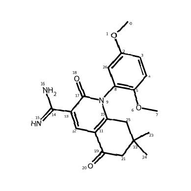 COc1ccc(OC)c(-n2c3c(cc(C(=N)N)c2=O)C(=O)CC(C)(C)C3)c1